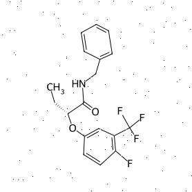 CC[C@@H](Oc1ccc(F)c(C(F)(F)F)c1)C(=O)NCc1ccccc1